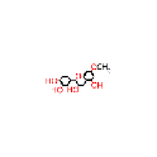 COc1cc(O)c2c(c1)OC(c1ccc(O)c(O)c1)C(O)C2